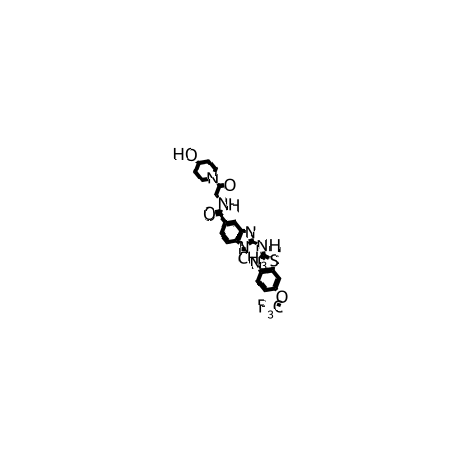 Cn1c(Nc2nc3ccc(OC(F)(F)F)cc3s2)nc2cc(C(=O)NCC(=O)N3CCC(O)CC3)ccc21